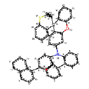 c1ccc(-c2ccccc2N(c2ccc(-c3cccc4ccccc34)cc2)c2ccc3c(c2)Oc2ccccc2[Si]32c3ccccc3Sc3ccccc32)cc1